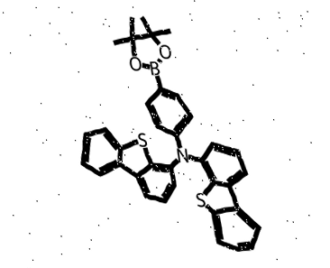 CC1(C)OB(c2ccc(N(c3cccc4c3sc3ccccc34)c3cccc4c3sc3ccccc34)cc2)OC1(C)C